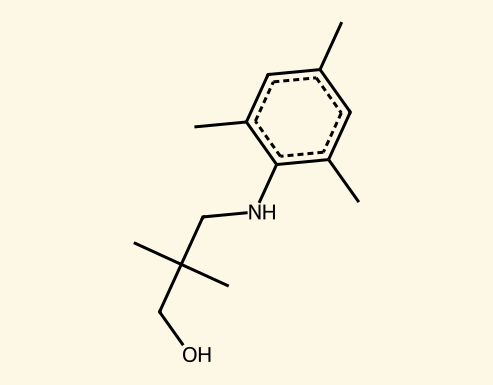 Cc1cc(C)c(NCC(C)(C)CO)c(C)c1